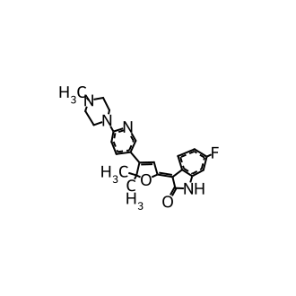 CN1CCN(c2ccc(C3=CC(=C4C(=O)Nc5cc(F)ccc54)OC3(C)C)cn2)CC1